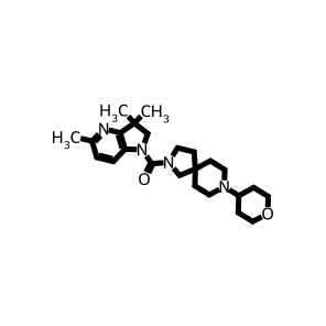 Cc1ccc2c(n1)C(C)(C)CN2C(=O)N1CCC2(CCN(C3CCOCC3)CC2)C1